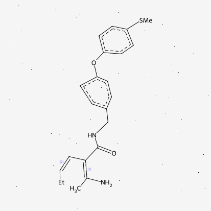 CC/C=C\C(C(=O)NCc1ccc(Oc2ccc(SC)cc2)cc1)=C(/C)N